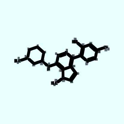 CN1CCC[C@@H](Nc2nnc(-c3ncc(C(F)(F)F)cc3O)c3ccn(C)c23)C1